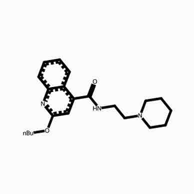 CCCCOc1cc(C(=O)NCCN2CCCCC2)c2ccccc2n1